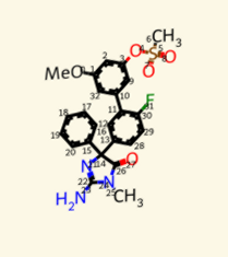 COc1cc(OS(C)(=O)=O)cc(-c2cc(C3(c4ccccc4)N=C(N)N(C)C3=O)ccc2F)c1